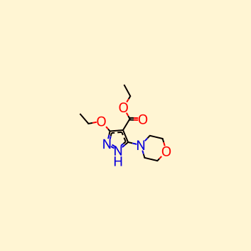 CCOC(=O)c1c(OCC)n[nH]c1N1CCOCC1